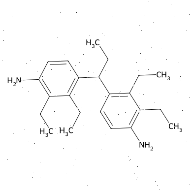 CCc1c(N)ccc(C(CC)c2ccc(N)c(CC)c2CC)c1CC